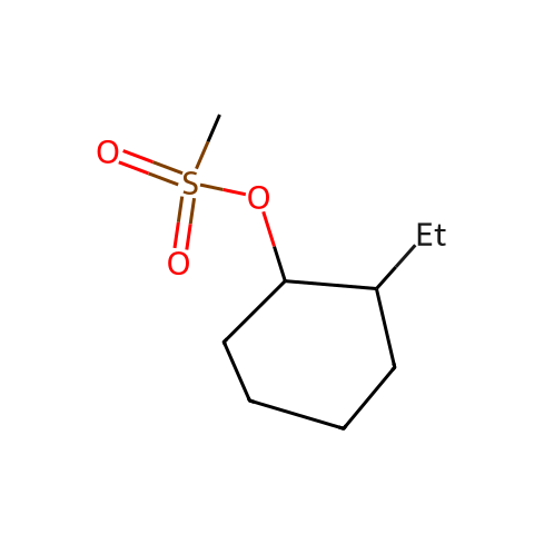 CCC1CCCCC1OS(C)(=O)=O